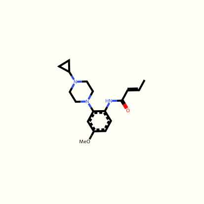 C/C=C/C(=O)Nc1ccc(OC)cc1N1CCN(C2CC2)CC1